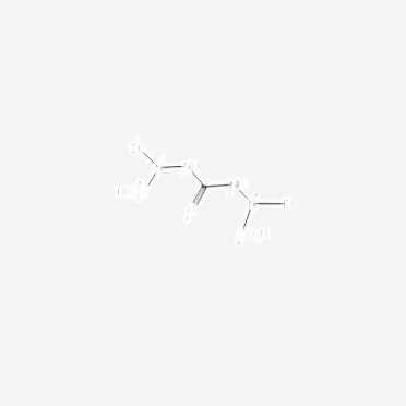 CCN(NC(=O)NN(CC)C(=O)O)C(=O)O